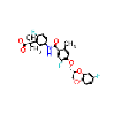 Cc1cc(OC[C@H]2COc3ccc(F)cc3O2)c(F)cc1C(=O)Nc1ccc(F)c(C(C)(C)C(=O)O)c1